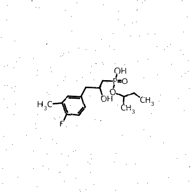 CCC(C)OP(=O)(O)CC(O)Cc1ccc(F)c(C)c1